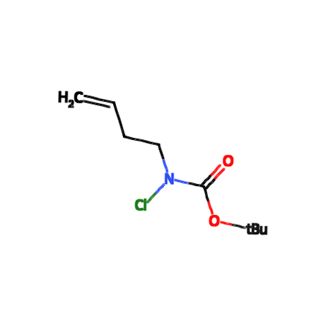 C=CCCN(Cl)C(=O)OC(C)(C)C